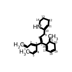 C=C/C=C(\C=C/C)C(=C/CC1=CCCCN1)/C1=CC=CCC1C